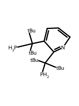 CC(C)(C)C(P)(c1cccnc1C(P)(C(C)(C)C)C(C)(C)C)C(C)(C)C